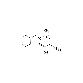 C#CC(/C=C(/C)OCC1CCCCC1)C(=O)O